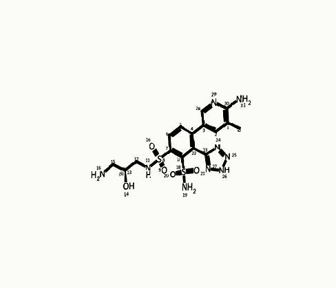 Cc1cc(-c2ccc(S(=O)(=O)NC[C@@H](O)CN)c(S(N)(=O)=O)c2-c2nn[nH]n2)cnc1N